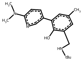 Cc1cc(CNC(C)(C)C)c(O)c(-c2ccc(N(C)C)nc2)c1